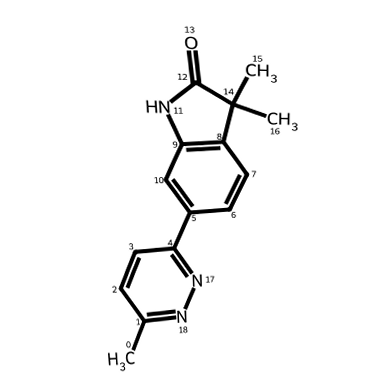 Cc1ccc(-c2ccc3c(c2)NC(=O)C3(C)C)nn1